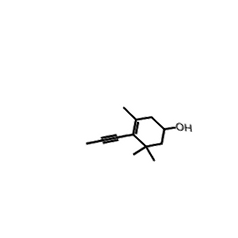 CC#CC1=C(C)CC(O)CC1(C)C